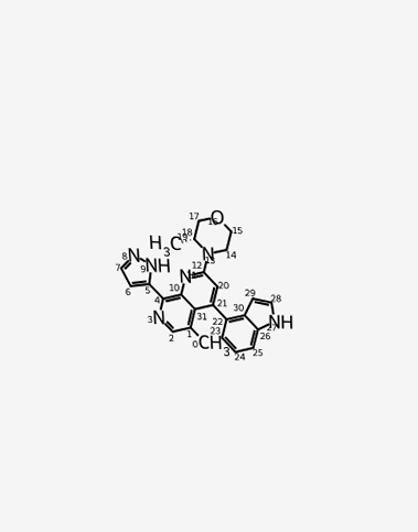 Cc1cnc(-c2ccn[nH]2)c2nc(N3CCOC[C@H]3C)cc(-c3cccc4[nH]ccc34)c12